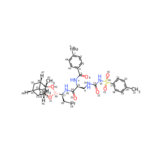 CCCCc1ccc(C(=O)N[C@@H](CNC(=O)NS(=O)(=O)c2ccc(C)cc2)C(=O)N[C@@H](CC(C)C)B2O[C@@H]3C[C@@H]4C[C@@H](C4(C)C)[C@]3(C)O2)cc1